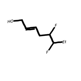 CCC(F)C(F)CC=CCO